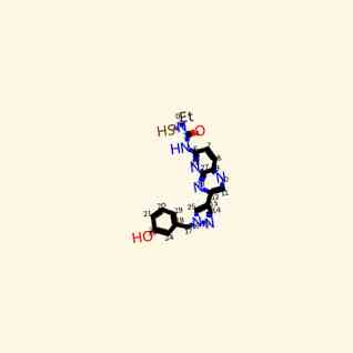 CCN(S)C(=O)Nc1ccc2ncc(-c3cnn(Cc4cccc(O)c4)c3)nc2n1